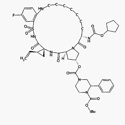 C=C[C@@H]1C[C@@]12NC(=O)[C@@H]1C[C@@H](OC(=O)N3CCN(C(=O)OC(C)(C)C)C(c4ccccc4)C3)CN1C(=O)[C@@H](NC(=O)OC1CCCC1)CCCCCCCNc1ccc(F)cc1S(=O)(=O)NC2=O